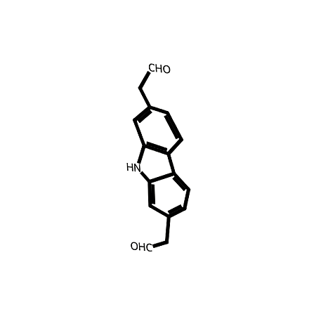 O=CCc1ccc2c(c1)[nH]c1cc(CC=O)ccc12